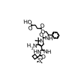 CC1(C)C(N)=C(C(=N)NC(=O)C2(S(C)(C)C)CCC2)CN1C(=O)NC(COC(=O)CCC(=O)O)c1ccccc1